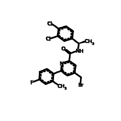 Cc1cc(F)ccc1-c1cc(CBr)cc(C(=O)N[C@H](C)c2ccc(Cl)c(Cl)c2)n1